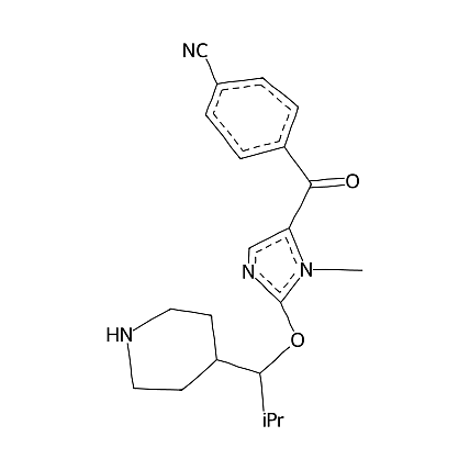 CC(C)C(Oc1ncc(C(=O)c2ccc(C#N)cc2)n1C)C1CCNCC1